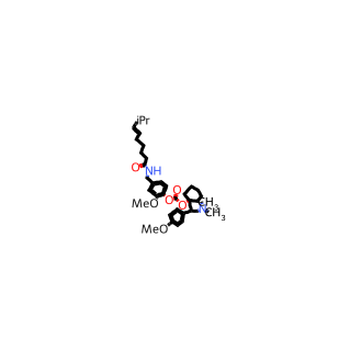 COc1ccc(C(CN(C)C)C2(OC(=O)Oc3ccc(CNC(=O)CCCC/C=C/C(C)C)cc3OC)CCCCC2)cc1